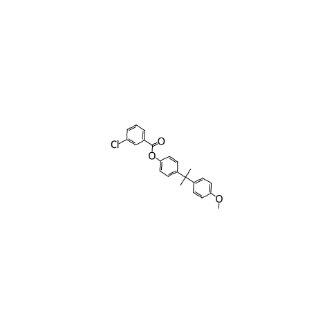 COc1ccc(C(C)(C)c2ccc(OC(=O)c3cccc(Cl)c3)cc2)cc1